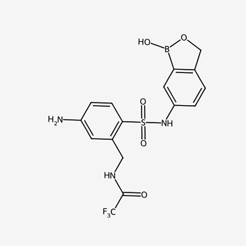 Nc1ccc(S(=O)(=O)Nc2ccc3c(c2)B(O)OC3)c(CNC(=O)C(F)(F)F)c1